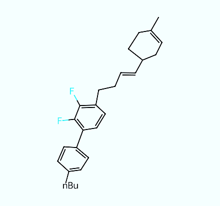 CCCCc1ccc(-c2ccc(CC/C=C/C3CC=C(C)CC3)c(F)c2F)cc1